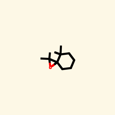 CC1(C)CCCCC12OC2(C)C